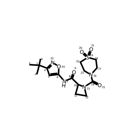 CC(C)(C)c1cc(NC(=O)C2CCN2C(=O)N2CCS(=O)(=O)CC2)on1